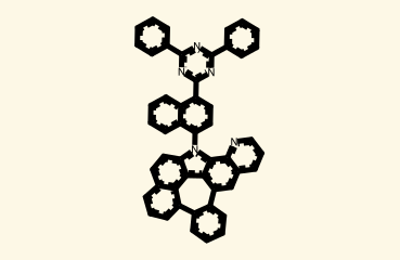 c1ccc(-c2nc(-c3ccccc3)nc(-c3ccc(-n4c5ccc6cccc7c6c5c5c(cc6cccnc6c54)-c4ccccc4-7)c4ccccc34)n2)cc1